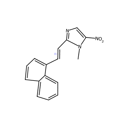 Cn1c([N+](=O)[O-])cnc1/C=C/c1cccc2ccccc12